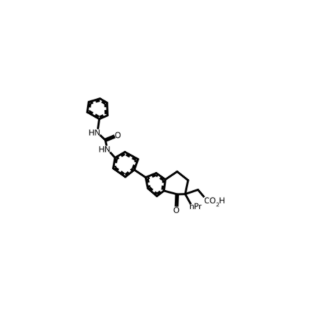 CCCC1(CC(=O)O)CCc2cc(-c3ccc(NC(=O)Nc4ccccc4)cc3)ccc2C1=O